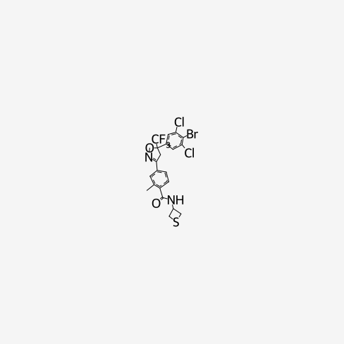 Cc1cc(C2=NOC(c3cc(Cl)c(Br)c(Cl)c3)(C(F)(F)F)C2)ccc1C(=O)NC1CSC1